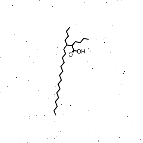 CCCCCCCCCCCCCCCC[C](CCCC)C(CCCC)C(=O)O